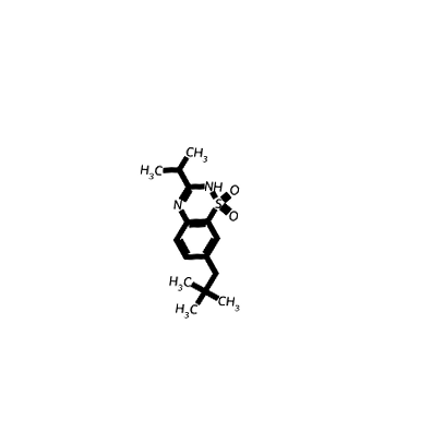 CC(C)C1=Nc2ccc(CC(C)(C)C)cc2S(=O)(=O)N1